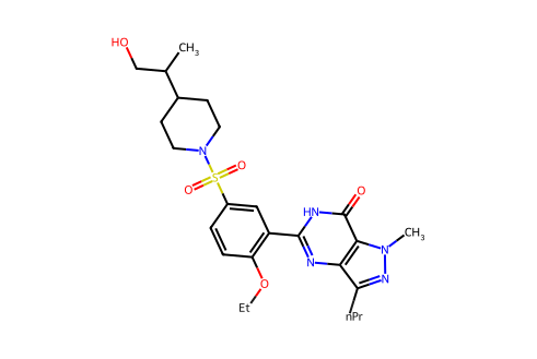 CCCc1nn(C)c2c(=O)[nH]c(-c3cc(S(=O)(=O)N4CCC(C(C)CO)CC4)ccc3OCC)nc12